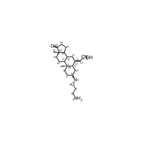 C[C@]12CCC(=NOCCN)CC1/C(=C/C#N)CC1C2CC[C@]2(C)C(=O)CCC12.Cl